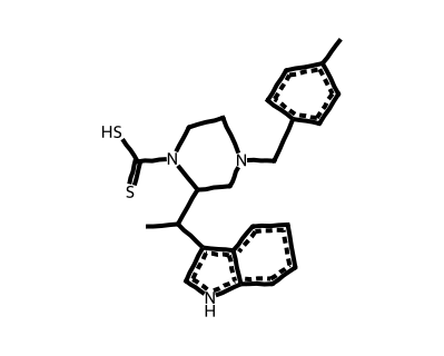 Cc1ccc(CN2CCN(C(=S)S)C(C(C)c3c[nH]c4ccccc34)C2)cc1